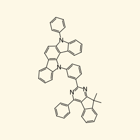 CC1(C)c2ccccc2-c2c(-c3ccccc3)nc(-c3cccc(-n4c5ccccc5c5ccc6c(c7ccccc7n6-c6ccccc6)c54)c3)nc21